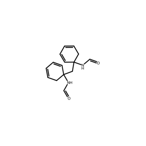 O=CNC1(CC2(NC=O)C=CC=CC2)C=CC=CC1